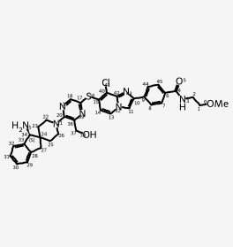 COCCNC(=O)c1ccc(-c2cn3ccc(Sc4cnc(N5CCC6(CC5)Cc5ccccc5[C@H]6N)c(CO)n4)c(Cl)c3n2)cc1